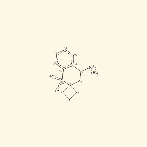 Cl.NC1CC2(CCC2)S(=O)(=O)c2ccccc21